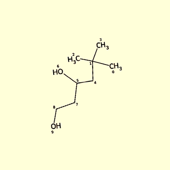 CC(C)(C)CC(O)CCO